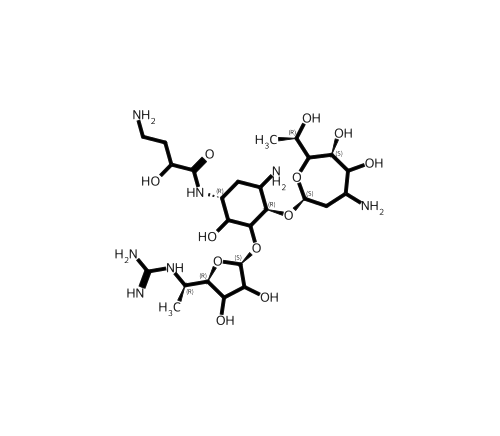 C[C@@H](O)C1O[C@H](O[C@@H]2C(N)C[C@@H](NC(=O)C(O)CCN)C(O)C2O[C@@H]2O[C@H]([C@@H](C)NC(=N)N)C(O)C2O)CC(N)C(O)[C@@H]1O